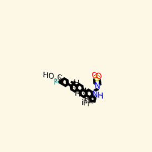 CC(C)[C@@H]1CC[C@]2(NCCN3CCS(=O)(=O)CC3)CC[C@]3(C)[C@H](CC[C@@H]4[C@@]5(C)CC=C(C6=CC[C@]7(C(=O)O)C(F)C7C6)C(C)(C)[C@@H]5CC[C@]43C)[C@@H]12